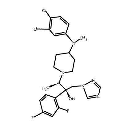 C[C@@H](N1CCC(N(C)c2ccc(Cl)c(Cl)c2)CC1)[C@](O)(Cn1cncn1)c1ccc(F)cc1F